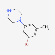 Cc1cc(Br)cc(N2CCNCC2)c1